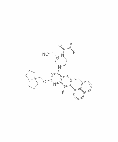 C=C(F)C(=O)N1CCN(c2nc(OCC34CCCN3CCC4)nc3c(F)c(-c4cccc5cccc(Cl)c45)ccc23)C[C@@H]1CC#N